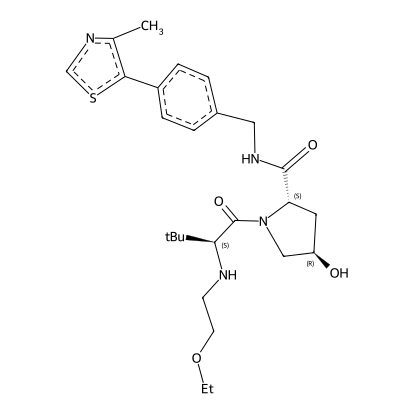 CCOCCN[C@H](C(=O)N1C[C@H](O)C[C@H]1C(=O)NCc1ccc(-c2scnc2C)cc1)C(C)(C)C